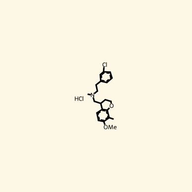 COc1ccc2c(c1C)OCCC2CN(C)CCc1cccc(Cl)c1.Cl